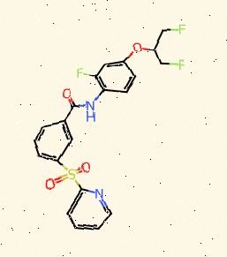 O=C(Nc1ccc(OC(CF)CF)cc1F)c1cccc(S(=O)(=O)c2ccccn2)c1